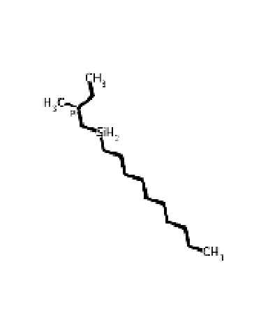 CCCCCCCCCC[SiH2]C[C@@H](C)CC